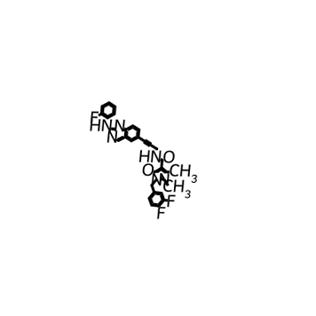 Cc1c(C(=O)NCC#Cc2ccc3nc(Nc4ccccc4F)ncc3c2)c(=O)n(Cc2ccc(F)c(F)c2)n1C